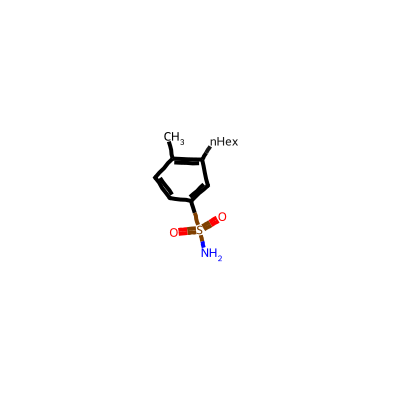 CCCCCCc1cc(S(N)(=O)=O)ccc1C